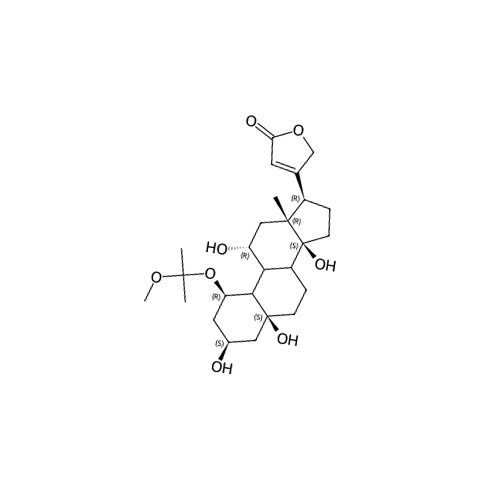 COC(C)(C)O[C@@H]1C[C@H](O)C[C@@]2(O)CCC3C(C12)[C@H](O)C[C@]1(C)[C@@H](C2=CC(=O)OC2)CC[C@]31O